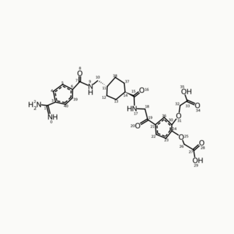 N=C(N)c1ccc(C(=O)NC[C@H]2CC[C@H](C(=O)NCC(=O)c3ccc(OCC(=O)O)c(OCC(=O)O)c3)CC2)cc1